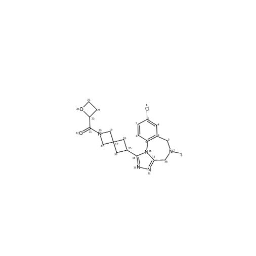 CN1Cc2cc(Cl)ccc2-n2c(nnc2C2CC3(C2)CN(C(=O)C2CCO2)C3)C1